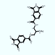 CC(=O)OC(COC(=O)c1ccc2c(c1)C(=O)OC2=O)COC(=O)c1ccc2c(c1)C(=O)OC2=O